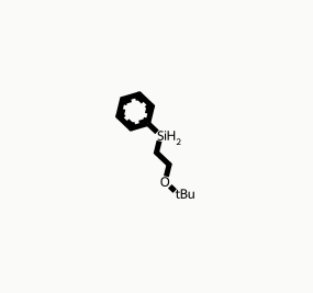 CC(C)(C)OCC[SiH2]c1ccccc1